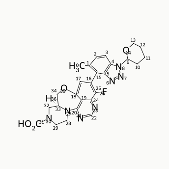 Cc1ccc2c(nnn2C2CCCCO2)c1-c1cc2c3c(ncnc3c1F)N1CCN(C(=O)O)C[C@H]1CO2